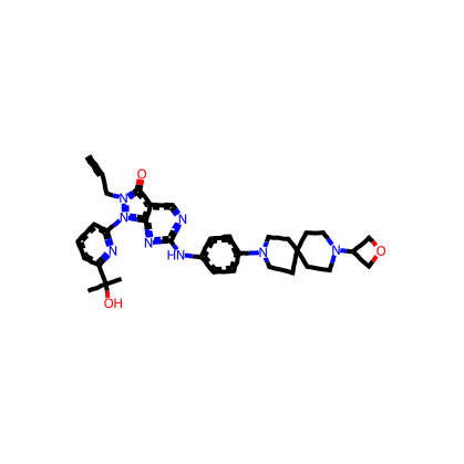 C=CCn1c(=O)c2cnc(Nc3ccc(N4CCC5(CC4)CCN(C4COC4)CC5)cc3)nc2n1-c1cccc(C(C)(C)O)n1